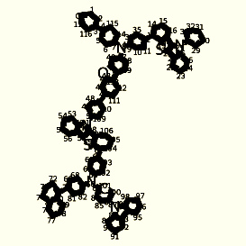 c1ccc(-c2ccc(N(c3ccc(-c4cccc5c4sc4c6ccccc6n(-c6ccccc6)c54)cc3)c3ccc4c(c3)oc3cc(-c5ccc(-n6c7ccccc7c7sc8c(-c9ccc(N(c%10ccc(-c%11cccc%12ccccc%11%12)cc%10)c%10ccc(-n%11c%12ccccc%12c%12ccccc%12%11)cc%10)cc9)cccc8c76)cc5)ccc34)cc2)cc1